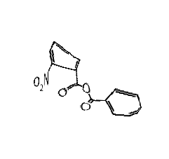 O=C(OC(=O)c1ccccc1[N+](=O)[O-])c1ccccc1